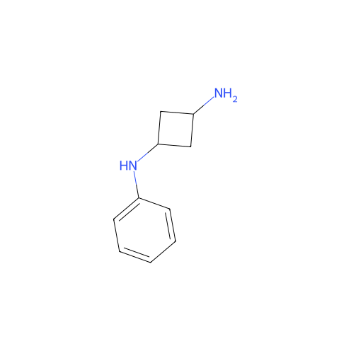 NC1CC(Nc2ccccc2)C1